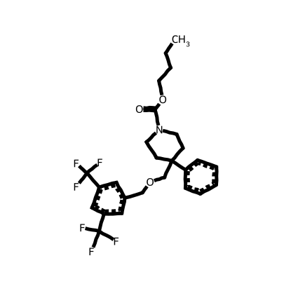 CCCCOC(=O)N1CCC(COCc2cc(C(F)(F)F)cc(C(F)(F)F)c2)(c2ccccc2)CC1